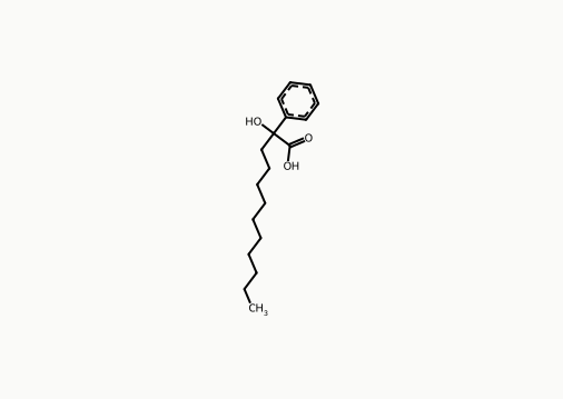 CCCCCCCCCCC(O)(C(=O)O)c1ccccc1